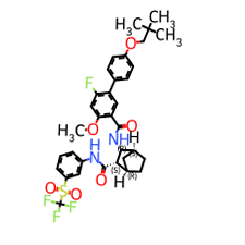 COc1cc(F)c(-c2ccc(OCC(C)(C)C)cc2)cc1C(=O)N[C@@H]1[C@H]2CC[C@H](C2)[C@@H]1C(=O)Nc1cccc(S(=O)(=O)C(F)(F)F)c1